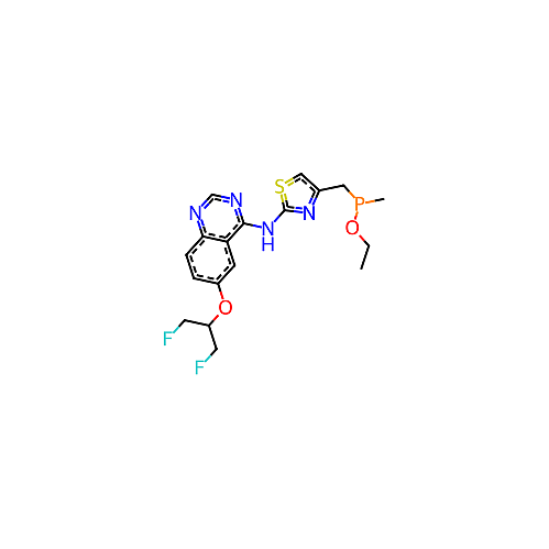 CCOP(C)Cc1csc(Nc2ncnc3ccc(OC(CF)CF)cc23)n1